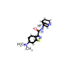 CN(C)c1ccc2c(C(=O)N[C@@H]3CN4CCC3CC4)nsc2c1